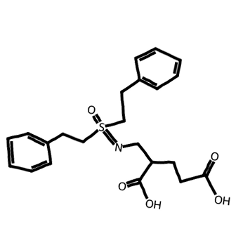 O=C(O)CCC(CN=S(=O)(CCc1ccccc1)CCc1ccccc1)C(=O)O